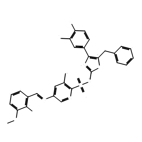 COc1cccc(/C=N/c2cnc(S(=O)(=O)Nc3nc(-c4ccc(F)c(Cl)c4)c(Cc4ccccc4)s3)c(C)c2)c1O